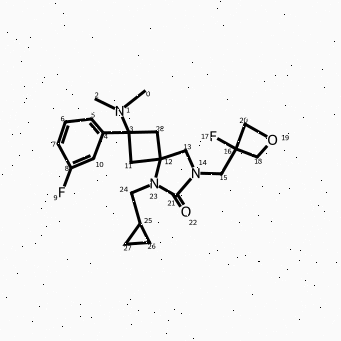 CN(C)C1(c2cccc(F)c2)CC2(CN(CC3(F)COC3)C(=O)N2CC2CC2)C1